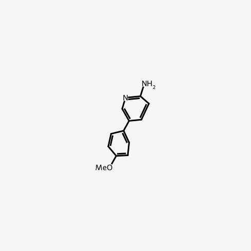 COc1ccc(-c2ccc(N)nc2)cc1